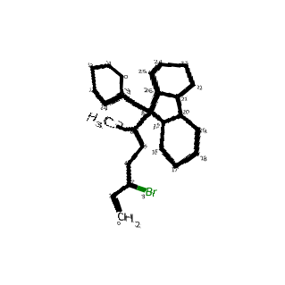 C=CC(Br)CCC(C)C1(C2CCCCC2)C2CCCCC2C2CCCCC21